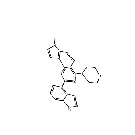 Cn1ccc2c3nc(-c4cccc5[nH]ncc45)nc(N4CCOCC4)c3ccc21